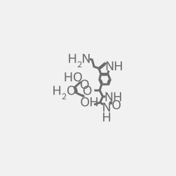 CC1NC(=O)NC1C(C)c1ccc2[nH]cc(CCN)c2c1.O.O=C(O)/C=C\C(=O)O